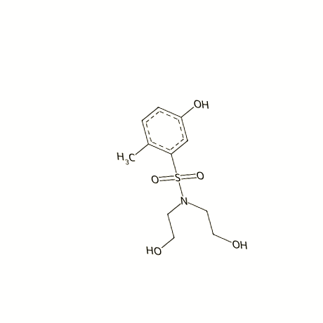 Cc1ccc(O)cc1S(=O)(=O)N(CCO)CCO